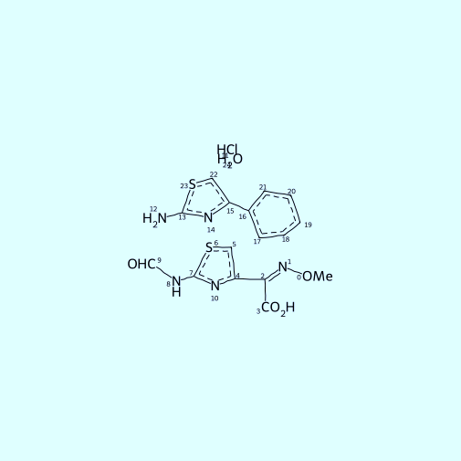 CON=C(C(=O)O)c1csc(NC=O)n1.Cl.Nc1nc(-c2ccccc2)cs1.O